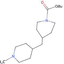 CC(C)COC(=O)N1CCC(CC2CCN(C)CC2)CC1